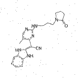 Cc1cnc(NCCCN2CCCC2=O)nc1C(C#N)=C1Nc2ccccc2N1